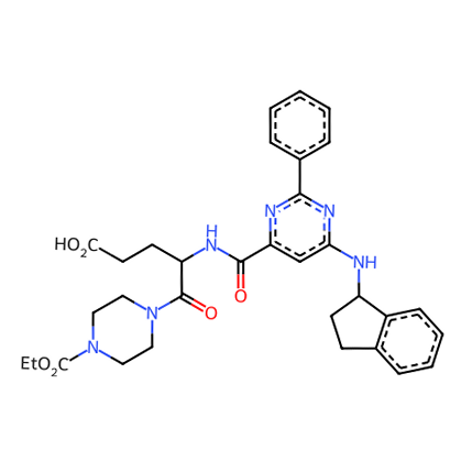 CCOC(=O)N1CCN(C(=O)C(CCC(=O)O)NC(=O)c2cc(NC3CCc4ccccc43)nc(-c3ccccc3)n2)CC1